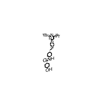 CC(C)c1cc(N2CCN(CC[C@H]3CC[C@@H](NC(=O)[C@H]4CC[C@H](O)CC4)CC3)CC2)nc(C(C)(C)C)n1